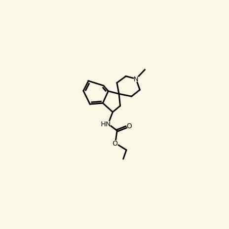 CCOC(=O)NC1CC2(CCN(C)CC2)c2ccccc21